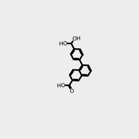 O=C(O)c1ccc2c(-c3ccc(C(O)O)cc3)cccc2c1